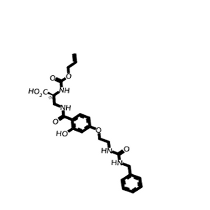 C=CCOC(=O)N[C@@H](CNC(=O)c1ccc(OCCNC(=O)NCc2ccccc2)cc1O)C(=O)O